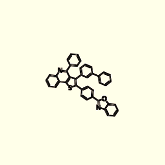 c1ccc(-c2cccc(-c3c(-c4ccc(-c5nc6ccccc6o5)cc4)sc4c3c(-c3ccccc3)nc3ccccc34)c2)cc1